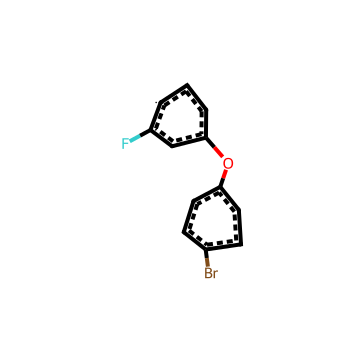 Fc1[c]ccc(Oc2ccc(Br)cc2)c1